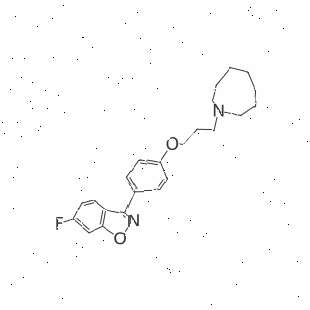 Fc1ccc2c(-c3ccc(OCCCN4CCCCCCC4)cc3)noc2c1